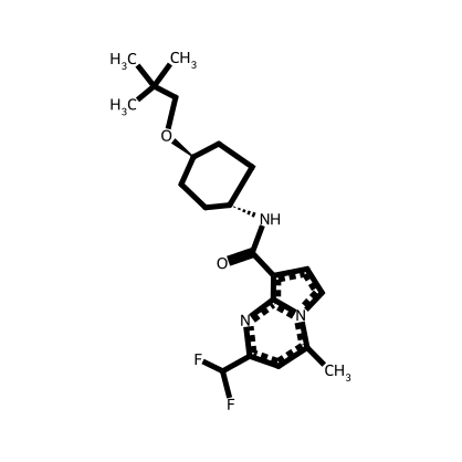 Cc1cc(C(F)F)nc2c(C(=O)N[C@H]3CC[C@H](OCC(C)(C)C)CC3)ccn12